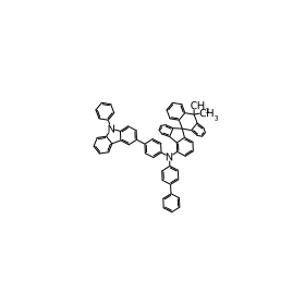 CC1(C)c2ccccc2C2(c3ccccc3-c3c(N(c4ccc(-c5ccccc5)cc4)c4ccc(-c5ccc6c(c5)c5ccccc5n6-c5ccccc5)cc4)cccc32)c2ccccc21